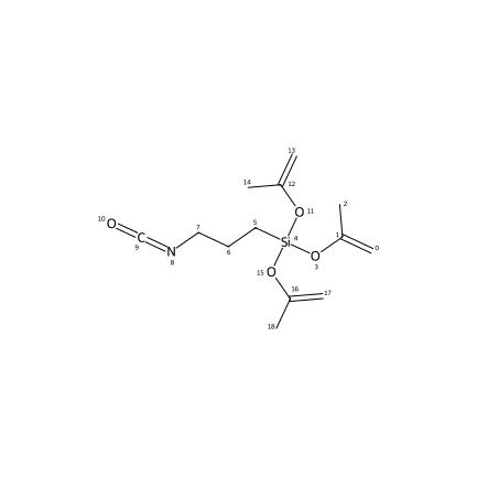 C=C(C)O[Si](CCCN=C=O)(OC(=C)C)OC(=C)C